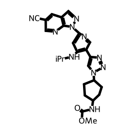 COC(=O)NC1CCC(n2cc(-c3cnc(-n4ncc5cc(C#N)cnc54)cc3NC(C)C)nn2)CC1